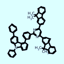 CC1(C)c2ccccc2-c2ccc(-c3cc(-c4ccc5c(c4)C(C)(C)c4ccccc4-5)nc(-c4cccc(-c5cccc6c5c5cc(-c7ccccc7)ccc5n6-c5ccccc5)c4)n3)cc21